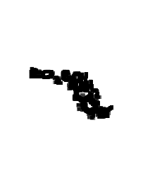 CCOC(=O)[C@@H](O)C[C@H](N)Cc1ccc(Br)cc1